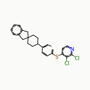 C=C(/C=C\C(=C/C)C1CCC2(CC1)Cc1ccccc1C2)Sc1ccnc(Cl)c1Cl